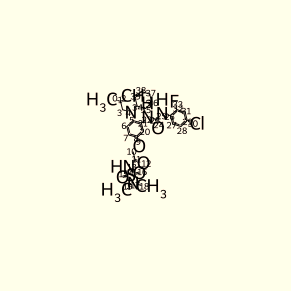 CC(C)CN(c1ccc(OCC(=O)NS(=O)(=O)N(C)C)cc1NC(=O)Nc1ccc(Cl)cc1F)C1CCCCC1